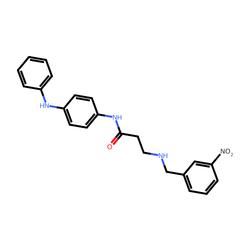 O=C(CCNCc1cccc([N+](=O)[O-])c1)Nc1ccc(Nc2ccccc2)cc1